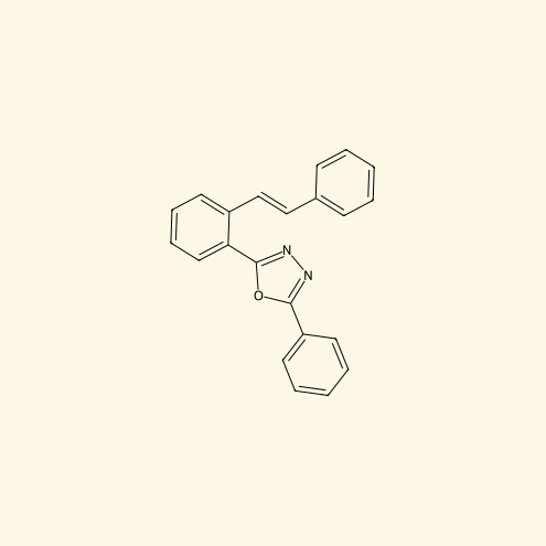 C(=Cc1ccccc1-c1nnc(-c2ccccc2)o1)c1ccccc1